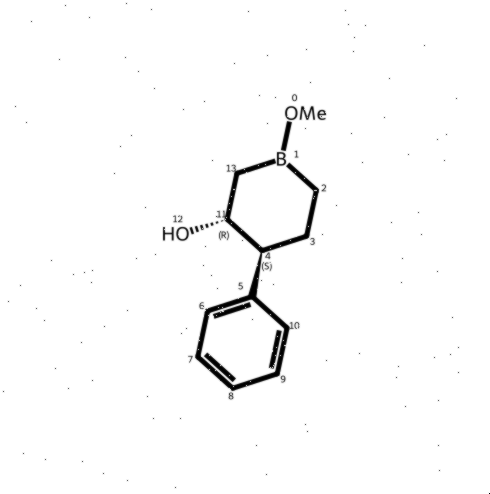 COB1CC[C@@H](c2ccccc2)[C@H](O)C1